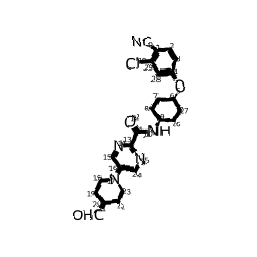 N#Cc1ccc(O[C@H]2CC[C@H](NC(=O)c3ncc(N4CCC(C=O)CC4)cn3)CC2)cc1Cl